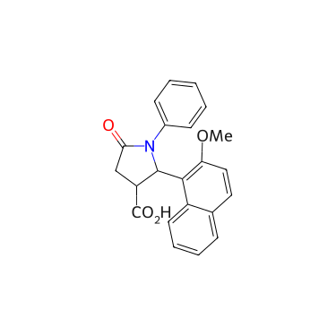 COc1ccc2ccccc2c1C1C(C(=O)O)CC(=O)N1c1ccccc1